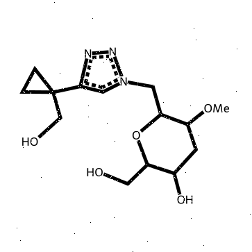 COC1CC(O)C(CO)OC1Cn1cc(C2(CO)CC2)nn1